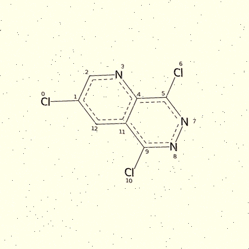 Clc1cnc2c(Cl)nnc(Cl)c2c1